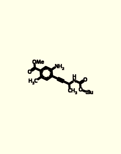 COC(=O)c1cc(N)c(C#CC(C)NC(=O)OC(C)(C)C)cc1C